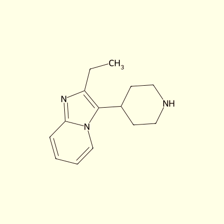 CCc1nc2ccccn2c1C1CCNCC1